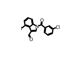 O=Cc1cn(C(=O)c2cccc(Cl)c2)c2cccc(I)c12